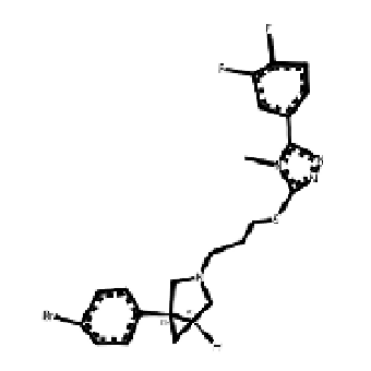 Cn1c(SCCCN2C[C@@H]3C[C@]3(c3ccc(Br)cc3)C2)nnc1-c1ccc(F)c(F)c1